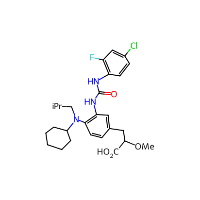 COC(Cc1ccc(N(CC(C)C)C2CCCCC2)c(NC(=O)Nc2ccc(Cl)cc2F)c1)C(=O)O